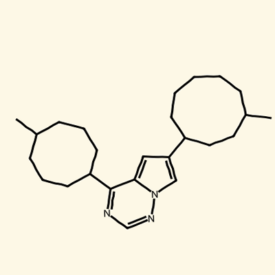 CC1CCCC(c2ncnn3cc(C4CCCCCC(C)CC4)cc23)CCC1